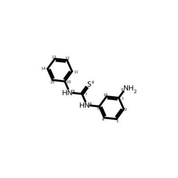 Nc1cccc(NC(=S)Nc2ccccc2)c1